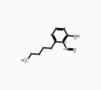 CCCCCc1cccc(O)c1N=O